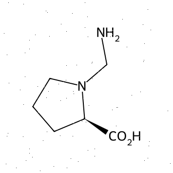 NCN1CCC[C@@H]1C(=O)O